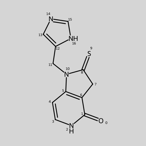 O=c1[nH]ccc2c1CC(=S)N2Cc1cnc[nH]1